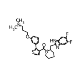 CN(C)CCCOc1cccc(-c2sccc2C(=O)N2CCCCC2Cc2nc3cc(F)c(F)cc3[nH]2)c1